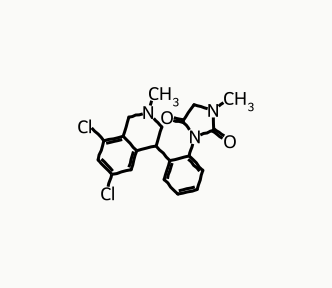 CN1Cc2c(Cl)cc(Cl)cc2C(c2ccccc2N2C(=O)CN(C)C2=O)C1